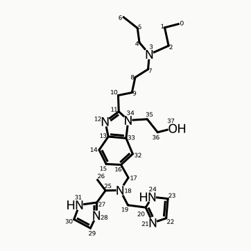 CCCN(CCC)CCCCc1nc2ccc(CN(Cc3ncc[nH]3)C(C)c3ncc[nH]3)cc2n1CCO